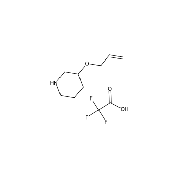 C=CCOC1CCCNC1.O=C(O)C(F)(F)F